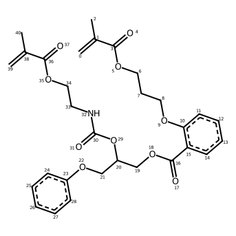 C=C(C)C(=O)OCCCOc1ccccc1C(=O)OCC(COc1ccccc1)OC(=O)NCCOC(=O)C(=C)C